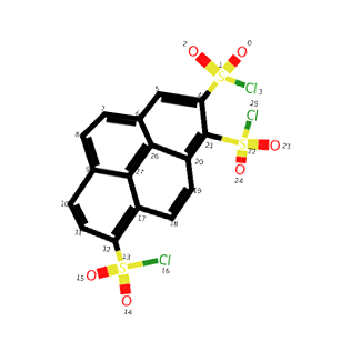 O=S(=O)(Cl)c1cc2ccc3ccc(S(=O)(=O)Cl)c4ccc(c1S(=O)(=O)Cl)c2c34